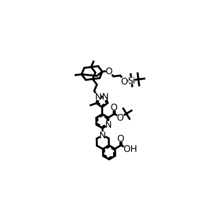 Cc1c(-c2ccc(N3CCc4cccc(C(=O)O)c4C3)nc2C(=O)OC(C)(C)C)cnn1CCC12CC3(C)CC(C)(C1)CC(OCCO[Si](C)(C)C(C)(C)C)(C3)C2